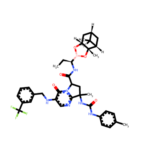 CC[C@H](NC(=O)C1CC(C)(NC(=O)Nc2ccc(C)cc2)c2ncc(NCc3cccc(C(F)(F)F)c3)c(=O)n21)B1O[C@@H]2C[C@@H]3C[C@@H](C3(C)C)[C@]2(C)O1